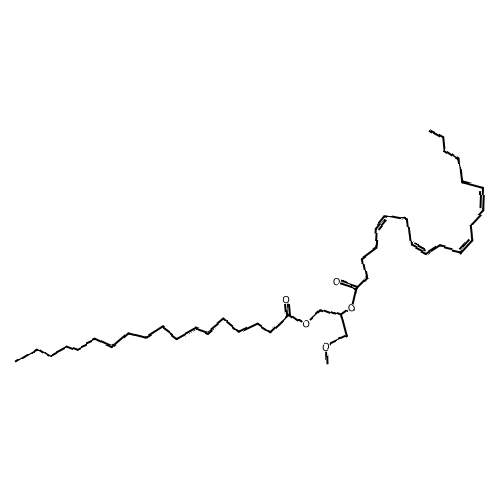 CCCCC/C=C\C/C=C\C/C=C\C/C=C\CCCC(=O)OC(COC)COC(=O)CCCCCCCCCCCCCCCCC